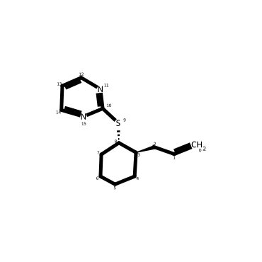 C=CC[C@H]1CCCC[C@@H]1Sc1ncccn1